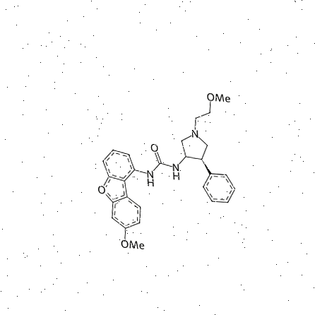 COCCN1CC(NC(=O)Nc2cccc3oc4cc(OC)ccc4c23)[C@H](c2ccccc2)C1